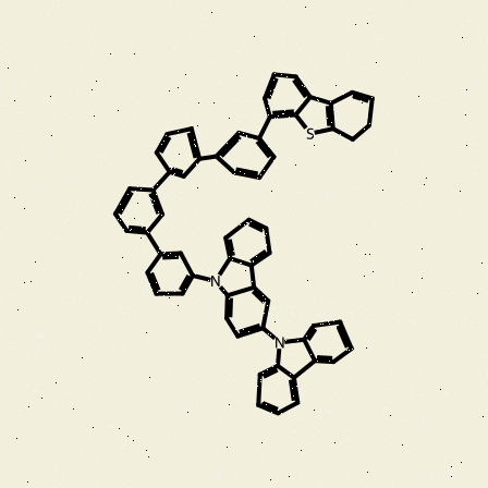 C1=Cc2c(sc3c(-c4cccc(-c5cccc(-c6cccc(-c7cccc(-n8c9ccccc9c9cc(-n%10c%11ccccc%11c%11ccccc%11%10)ccc98)c7)c6)c5)c4)cccc23)CC1